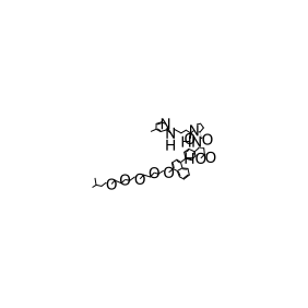 Cc1ccnc(NCCCC(=O)N2CCC[C@@H]2C(=O)N[C@@H](CC(=O)O)c2ccc(-c3ccc(OCCOCCOCCOCCOCCC(C)C)c4ccccc34)cc2)c1